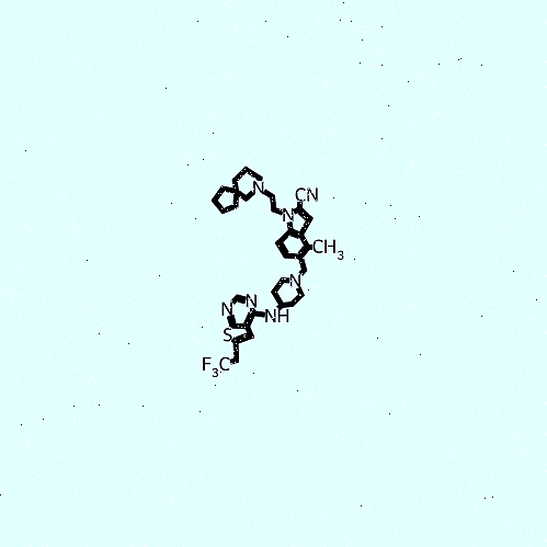 Cc1c(CN2CCC(Nc3ncnc4sc(CC(F)(F)F)cc34)CC2)ccc2c1cc(C#N)n2CCN1CCCC2(CCCC2)C1